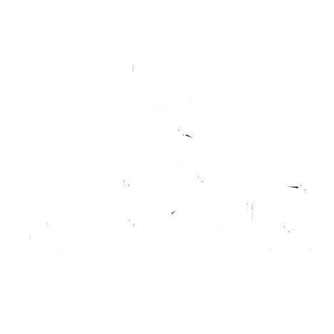 C[C@@H]1CC/C=C\[C@]2(N)C[C@@]2(C(=O)NS(=O)(=O)C2(C)CC2)NC(=O)C2C[C@@H](Oc3nc4cc(C(=O)OC(C)(C)C)ccc4nc3C(F)(F)F)CN2C(=O)[C@@H](NC(=O)OC(C)(C)C(C)(F)F)[C@H](C)C1